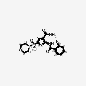 NC(=O)c1cc(S(=O)(=O)N2CCOCC2)sc1NC(=O)c1ccccc1F